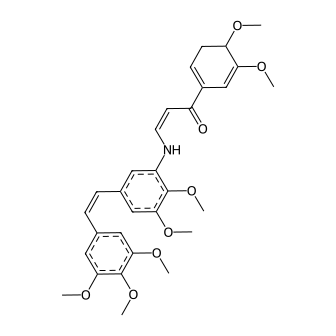 COC1=CC(C(=O)/C=C\Nc2cc(/C=C\c3cc(OC)c(OC)c(OC)c3)cc(OC)c2OC)=CCC1OC